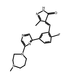 CC1=NNC(=O)/C1=C/c1cc(-c2cncc(N3CCCN(C)CC3)n2)ccc1F